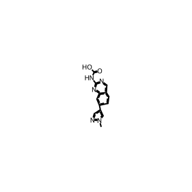 Cn1cc(-c2ccc3cnc(NC(=O)O)nc3c2)cn1